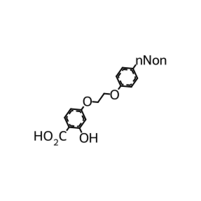 CCCCCCCCCc1ccc(OCCOc2ccc(C(=O)O)c(O)c2)cc1